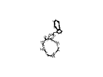 O=C(Cc1cccc2ccccc12)NC1C(=O)NCCNCCCNCCNC1=O